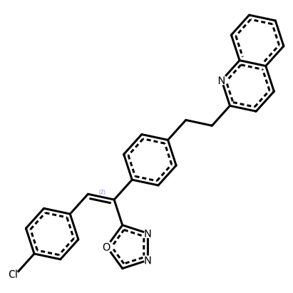 Clc1ccc(/C=C(/c2ccc(CCc3ccc4ccccc4n3)cc2)c2nnco2)cc1